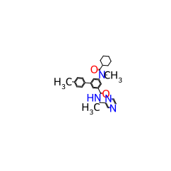 Cc1ccc(-c2cc(C(=O)NC(C)c3cnccn3)cc(N(C)C(=O)C3CCCCC3)c2)cc1